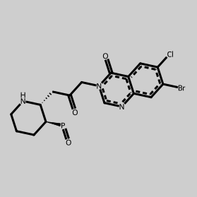 O=P[C@H]1CCCN[C@@H]1CC(=O)Cn1cnc2cc(Br)c(Cl)cc2c1=O